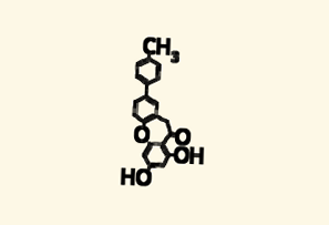 Cc1ccc(-c2ccc3c(c2)CC(=O)c2c(O)cc(O)cc2O3)cc1